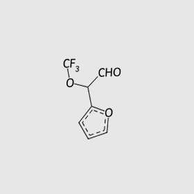 O=CC(OC(F)(F)F)c1ccco1